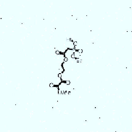 CCOP(=O)(CC(=O)OCCOC(=O)C(=O)OC)OCC